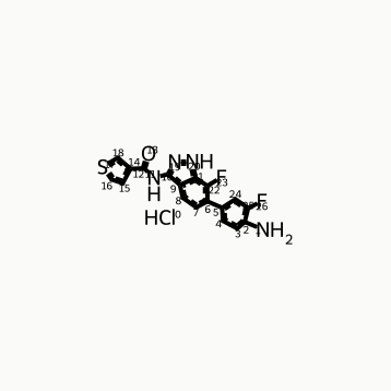 Cl.Nc1ccc(-c2ccc3c(NC(=O)c4ccsc4)n[nH]c3c2F)cc1F